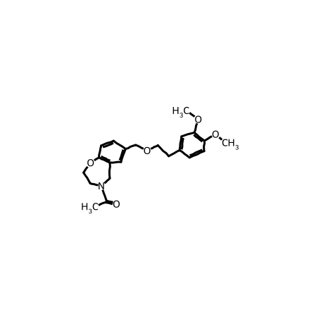 COc1ccc(CCOCc2ccc3c(c2)CN(C(C)=O)CCO3)cc1OC